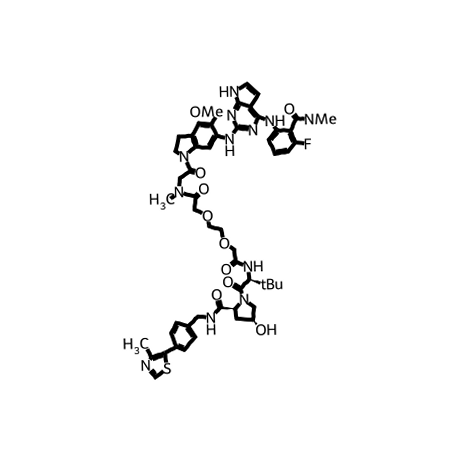 CNC(=O)c1c(F)cccc1Nc1nc(Nc2cc3c(cc2OC)CCN3C(=O)CN(C)C(=O)COCCOCC(=O)N[C@H](C(=O)N2C[C@H](O)C[C@H]2C(=O)NCc2ccc(-c3scnc3C)cc2)C(C)(C)C)nc2[nH]ccc12